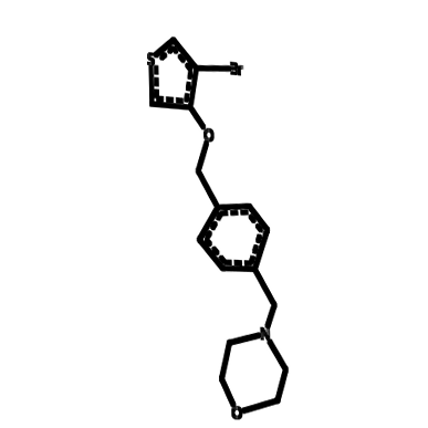 Brc1cscc1OCc1ccc(CN2CCOCC2)cc1